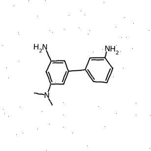 CN(C)c1cc(N)cc(-c2cccc(N)c2)c1